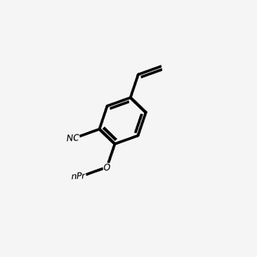 C=Cc1ccc(OCCC)c(C#N)c1